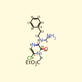 CCOC(=O)Cn1c(Cl)cnc(N(CN)CCc2ccccc2)c1=O